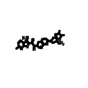 Cc1ccc2c(N)c(C(=O)NC3COc4nc(N5CC(N)C6(C5)OC(C)C(C)O6)ccc4C3)sc2n1